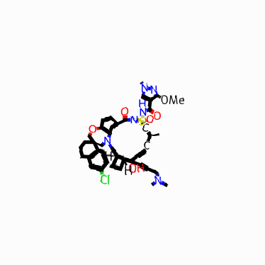 COc1nn(C)cc1C(=O)NS1(=O)=NC(=O)c2ccc3c(c2)N(C[C@@H]2CC[C@H]2[C@](O)(C#CCN(C)C)/C=C/C[C@H](C)C1)C[C@@]1(CCCc2cc(Cl)ccc21)CO3